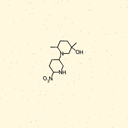 CC1CCC(C)(O)CN1C1CCC([N+](=O)[O-])NC1